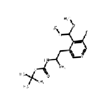 COC(OC)c1c(F)cncc1CC(C)NC(=O)OC(C)(C)C